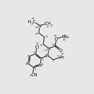 CC(C)CN(c1nc(C#N)ncc1Cl)N(CCCN(C)C)C(=O)OC(C)(C)C